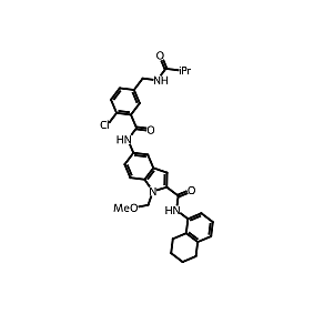 COCn1c(C(=O)Nc2cccc3c2CCCC3)cc2cc(NC(=O)c3cc(CNC(=O)C(C)C)ccc3Cl)ccc21